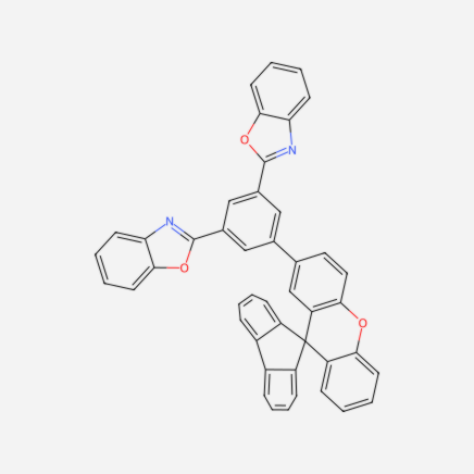 c1ccc2c(c1)Oc1ccc(-c3cc(-c4nc5ccccc5o4)cc(-c4nc5ccccc5o4)c3)cc1C21c2ccccc2-c2ccccc21